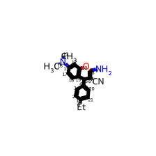 CCc1ccc(C2C(C#N)=C(N)Oc3cc(N(C)C)ccc32)cc1